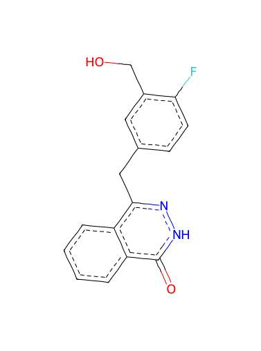 O=c1[nH]nc(Cc2ccc(F)c(CO)c2)c2ccccc12